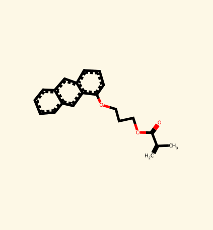 C=C(C)C(=O)OCCCOc1cccc2cc3ccccc3cc12